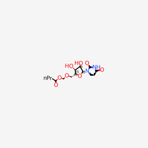 CCCC(=O)OCOC[C@H]1O[C@@H](n2ccc(=O)[nH]c2=O)[C@H](O)[C@@H]1O